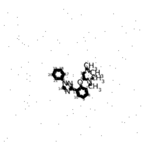 CN(C)CC(Oc1ccccc1-c1ncn(-c2ccccc2)n1)N(C)C